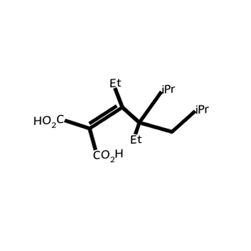 CCC(=C(C(=O)O)C(=O)O)C(CC)(CC(C)C)C(C)C